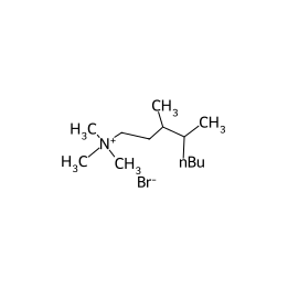 CCCCC(C)C(C)CC[N+](C)(C)C.[Br-]